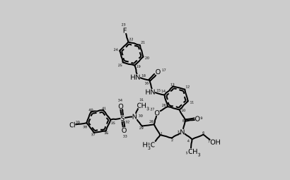 CC1CN(C(C)CO)C(=O)c2cccc(NC(=O)Nc3ccc(F)cc3)c2OC1CN(C)S(=O)(=O)c1ccc(Cl)cc1